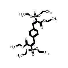 CCOC(=O)/C(=C\c1ccc(/C=C(\C(=O)OCC)P(=O)(OCC)OCC)cc1)P(=O)(OCC)OCC